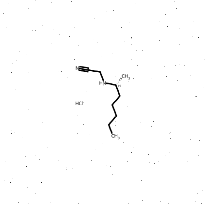 CCCCC[C@@H](C)NCC#N.Cl